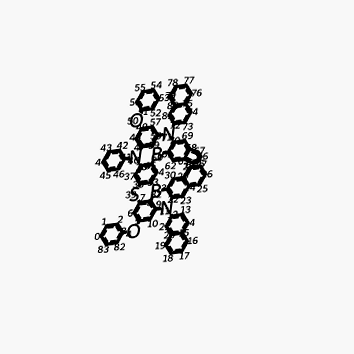 c1ccc(Oc2cc3c4c(c2)N(c2ccc5ccccc5c2)c2cc5ccccc5cc2B4c2cc4c(cc2S3)N(c2ccccc2)c2cc(Oc3ccccc3)cc3c2B4c2cc4ccccc4cc2N3c2ccc3ccccc3c2)cc1